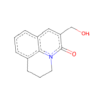 O=c1c(CO)cc2cccc3c2n1CCC3